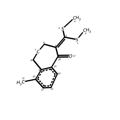 CSC(SC)=C1CCCc2c(C)cccc2C1=O